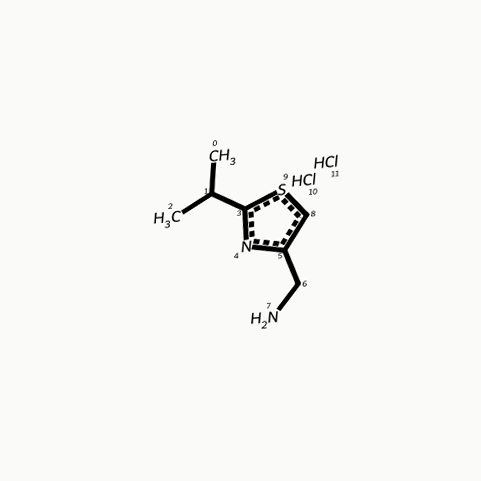 CC(C)c1nc(CN)cs1.Cl.Cl